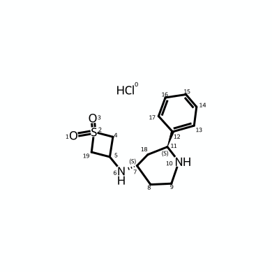 Cl.O=S1(=O)CC(N[C@H]2CCN[C@H](c3ccccc3)C2)C1